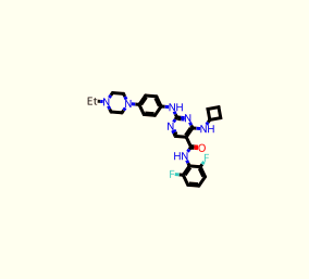 CCN1CCN(c2ccc(Nc3ncc(C(=O)Nc4c(F)cccc4F)c(NC4CCC4)n3)cc2)CC1